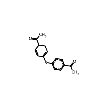 CC(=O)c1ccc(SC2=CCC(C(C)=O)C=C2)cc1